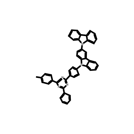 Cc1ccc(-c2nc(-c3ccccc3)nc(-c3ccc(-n4c5ccccc5c5cc(-n6c7ccccc7c7ccccc76)ccc54)cc3)n2)cc1